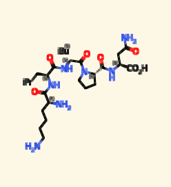 CC[C@H](C)[C@H](NC(=O)[C@H](CC(C)C)NC(=O)[C@@H](N)CCCCN)C(=O)N1CCC[C@H]1C(=O)N[C@@H](CC(N)=O)C(=O)O